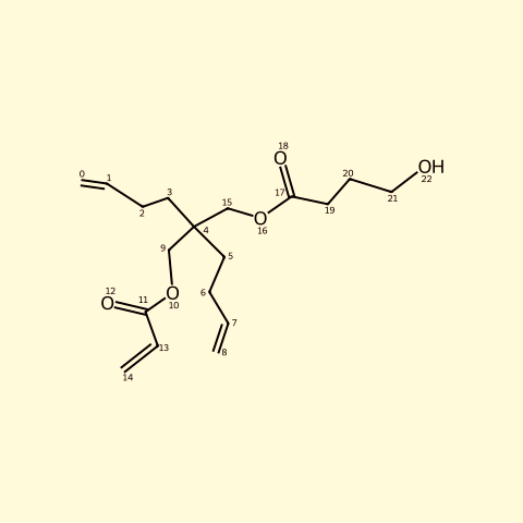 C=CCCC(CCC=C)(COC(=O)C=C)COC(=O)CCCO